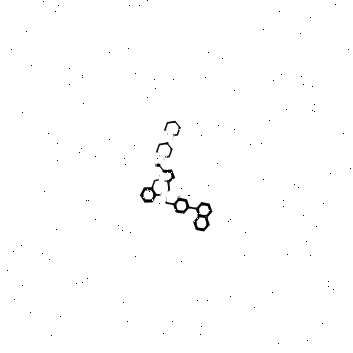 O=C(c1ccc2n1Cc1ccccc1N(C(=O)c1ccc(-c3cccc4ccccc34)cc1Cl)C2)N1CCC(N2CCCCC2)CC1